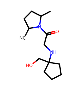 CC1CCC(C#N)N1C(=O)CNC1(CO)CCCC1